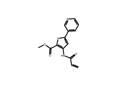 C=CC(=O)Nc1cc(-c2cccnc2)sc1C(=O)OC